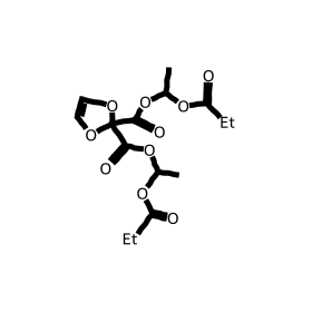 CCC(=O)OC(C)OC(=O)C1(C(=O)OC(C)OC(=O)CC)OC=CO1